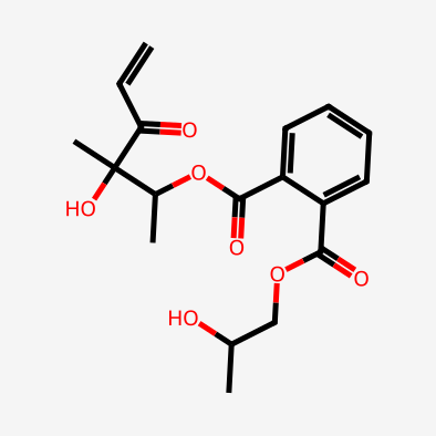 C=CC(=O)C(C)(O)C(C)OC(=O)c1ccccc1C(=O)OCC(C)O